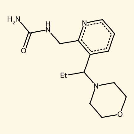 CCC(c1cccnc1CNC(N)=O)N1CCOCC1